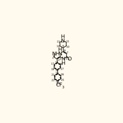 N=C/C(=C1/NC(=O)C=C(C2CCNCC2)N1)c1ccc(-c2ccc(C(F)(F)F)cc2)cc1